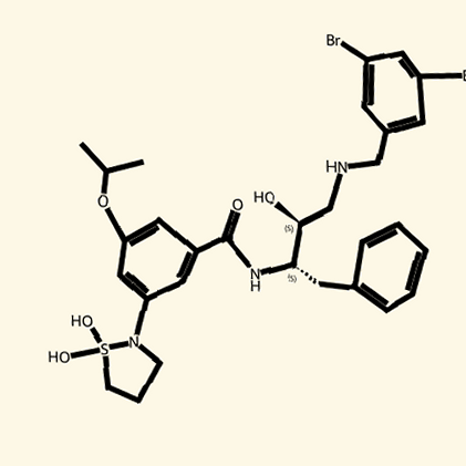 CC(C)Oc1cc(C(=O)N[C@@H](Cc2ccccc2)[C@@H](O)CNCc2cc(Br)cc(Br)c2)cc(N2CCCS2(O)O)c1